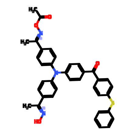 CC(=O)O/N=C(\C)c1ccc(N(c2ccc(C(=O)c3ccc(Sc4ccccc4)cc3)cc2)c2ccc(/C(C)=N/O)cc2)cc1